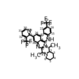 CCC1CCCCN1C(C)c1nc(Nc2ccc(C(F)(F)F)cc2)c2ccc(-c3ncccc3C(F)(F)F)cc2n1